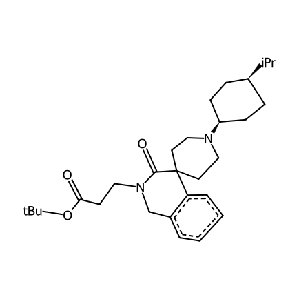 CC(C)[C@H]1CC[C@@H](N2CCC3(CC2)C(=O)N(CCC(=O)OC(C)(C)C)Cc2ccccc23)CC1